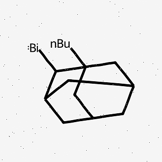 CCCCC12CC3CC(CC(C3)[CH]1[Bi])C2